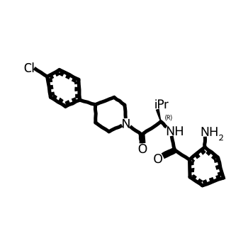 CC(C)[C@@H](NC(=O)c1ccccc1N)C(=O)N1CCC(c2ccc(Cl)cc2)CC1